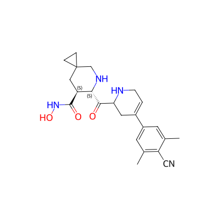 Cc1cc(C2=CCNC(C(=O)[C@H]3NCC4(CC4)C[C@@H]3C(=O)NO)C2)cc(C)c1C#N